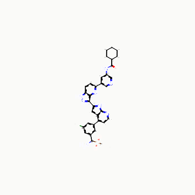 CS(=O)(=O)C(N)c1cc(F)cc(-c2ccnc3[nH]c(-c4n[nH]c5ccc(-c6cncc(NC(=O)C7CCCCC7)c6)nc45)cc23)c1